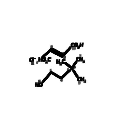 C[N+](C)(C)CCO.O=C(O)C=CC(=O)O.[Cl-]